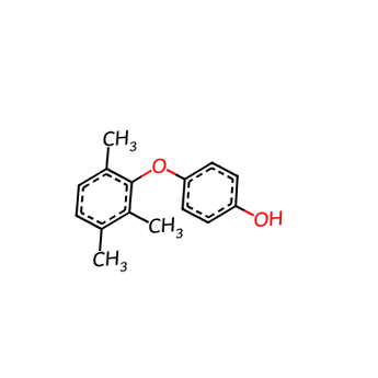 Cc1ccc(C)c(Oc2ccc(O)cc2)c1C